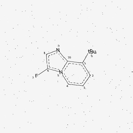 CC(C)(C)c1cccn2c(F)cnc12